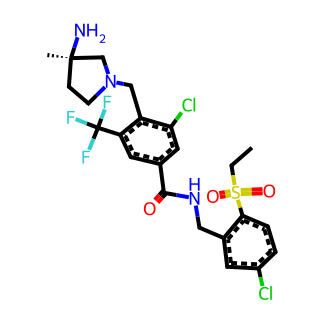 CCS(=O)(=O)c1ccc(Cl)cc1CNC(=O)c1cc(Cl)c(CN2CC[C@@](C)(N)C2)c(C(F)(F)F)c1